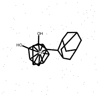 O[C]12[CH]3[CH]4[C]5(C6C7CC8CC(C7)CC6C8)[C]1(O)[Fe]34251678[CH]2[CH]1[CH]6[CH]7[CH]28